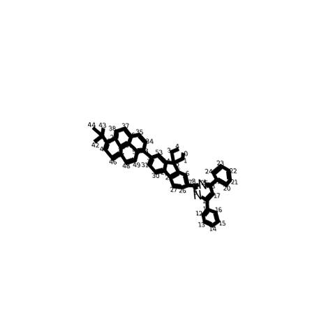 CCC1(CC)c2cc(-c3nc(-c4ccccc4)cc(-c4ccccc4)n3)ccc2-c2ccc(-c3ccc4ccc5c(C(C)(C)C)ccc6ccc3c4c65)cc21